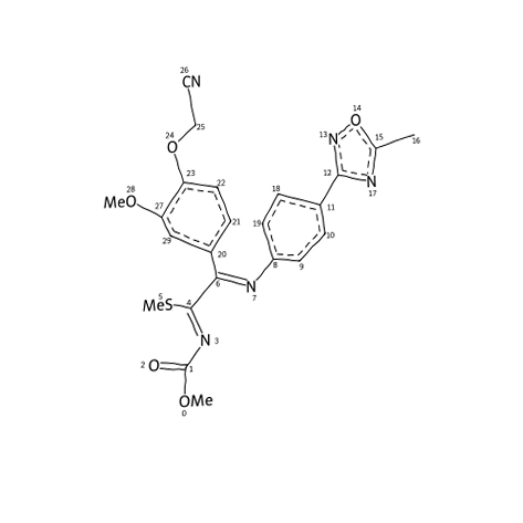 COC(=O)N=C(SC)C(=Nc1ccc(-c2noc(C)n2)cc1)c1ccc(OCC#N)c(OC)c1